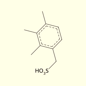 Cc1ccc(CS(=O)(=O)O)c(C)c1C